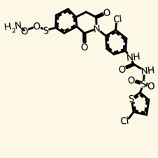 NOOSc1ccc2c(c1)C(=O)N(c1ccc(NC(=O)NS(=O)(=O)c3ccc(Cl)s3)cc1Cl)C(=O)C2